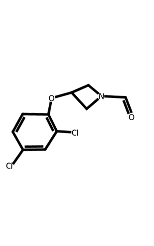 O=CN1CC(Oc2ccc(Cl)cc2Cl)C1